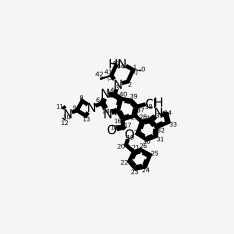 C[C@@H]1CN(c2nc(N3CC(N(C)C)C3)nc3c(C(=O)OCc4ccccc4)c(-c4cccc5cc[nH]c45)c(Cl)cc23)[C@@H](C)CN1